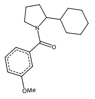 COc1cccc(C(=O)N2CCCC2C2CCCCC2)c1